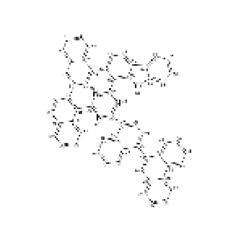 c1ccc2cc(-c3ccc4ccccc4c3-c3nc(-c4ccc(-c5cc6ccccc6c6ccccc56)c5ccccc45)nc(-c4cccc5c4oc4ccccc45)n3)ccc2c1